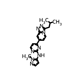 CC(C)Cc1nnc2cc(-c3ccnc(Nc4ccnn4C)n3)ccn12